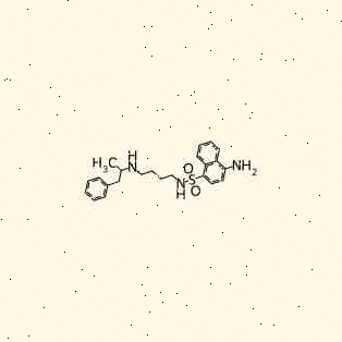 CC(Cc1ccccc1)NCCCCNS(=O)(=O)c1ccc(N)c2ccccc12